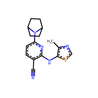 Cc1ncsc1Nc1nc(N2C3CCC2CC3)ccc1C#N